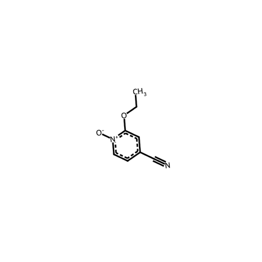 CCOc1cc(C#N)cc[n+]1[O-]